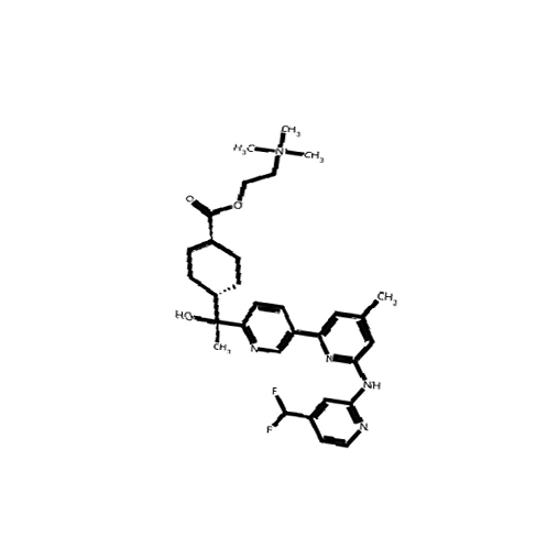 Cc1cc(Nc2cc(C(F)F)ccn2)nc(-c2ccc([C@](C)(O)[C@H]3CC[C@H](C(=O)OCC[N+](C)(C)C)CC3)nc2)c1